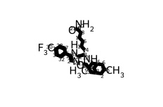 CC1CC2CC(C1)CC(C)(C(=O)N[C@@H](CCCCCC(N)=O)c1ncc(-c3ccc(C(F)(F)F)cc3)[nH]1)C2